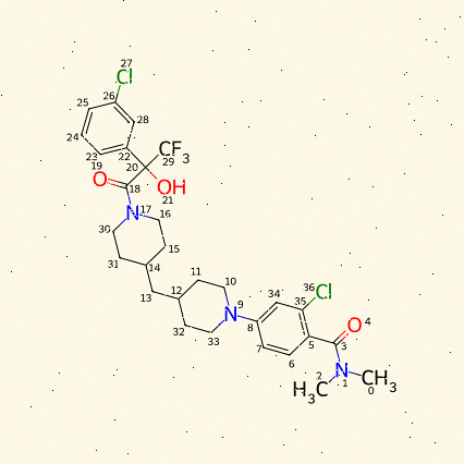 CN(C)C(=O)c1ccc(N2CCC(CC3CCN(C(=O)C(O)(c4cccc(Cl)c4)C(F)(F)F)CC3)CC2)cc1Cl